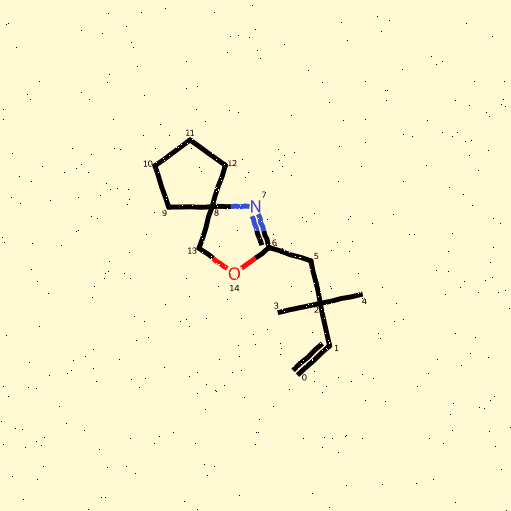 C=CC(C)(C)CC1=NC2(CCCC2)CO1